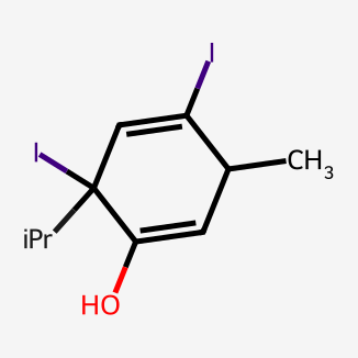 CC1C=C(O)C(I)(C(C)C)C=C1I